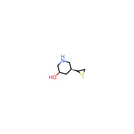 O[C@H]1CNC[C@@H](C2CS2)C1